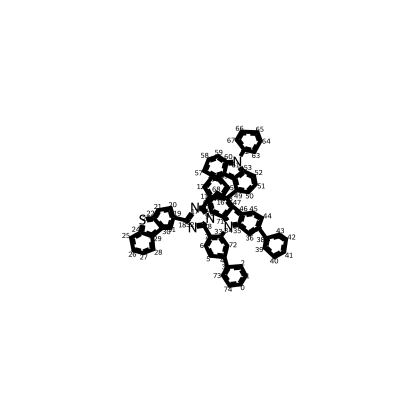 c1ccc(-c2ccc(-c3nc(-c4ccccc4)nc(-c4ccc5sc6ccccc6c5c4)n3)c(-n3c4cc(-c5ccccc5)ccc4c4c(-c5cccc6c5c5ccccc5n6-c5ccccc5)cccc43)c2)cc1